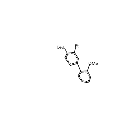 CCc1cc(-c2ccccc2OC)ccc1C=O